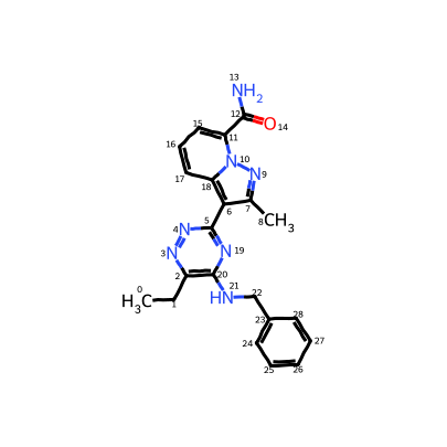 CCc1nnc(-c2c(C)nn3c(C(N)=O)cccc23)nc1NCc1ccccc1